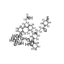 CC(O)(P(=O)(O)O)P(=O)(O)O.CNCCC=C1c2ccccc2CCc2ccccc21.O=C(CCCN1CC=C(n2c(=O)[nH]c3ccccc32)CC1)c1ccc(F)cc1